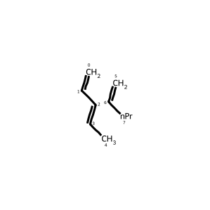 C=C/C=C/C.C=CCCC